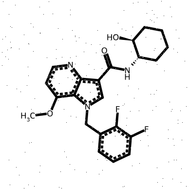 COc1ccnc2c(C(=O)N[C@H]3CCCC[C@@H]3O)cn(Cc3cccc(F)c3F)c12